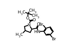 CC1CC(C(=O)Nc2cc(Br)ccc2Br)N(C(=O)OC(C)(C)C)C1